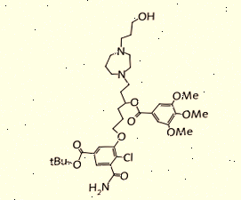 COc1cc(C(=O)OC(CCCOc2cc(C(=O)OC(C)(C)C)cc(C(N)=O)c2Cl)CCN2CCCN(CCCO)CC2)cc(OC)c1OC